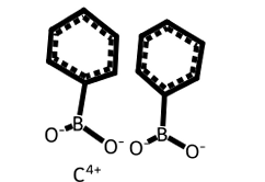 [C+4].[O-]B([O-])c1ccccc1.[O-]B([O-])c1ccccc1